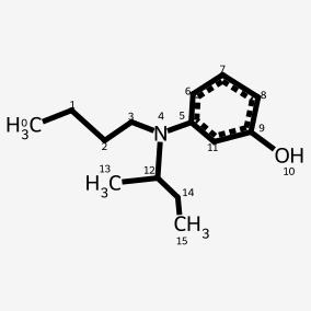 CCCCN(c1cccc(O)c1)C(C)CC